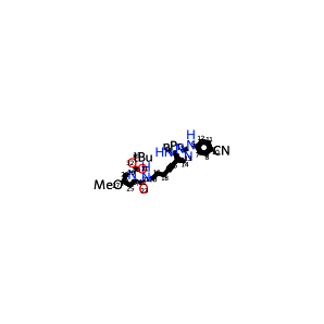 CCCNc1nc(Nc2ccc(C#N)cc2)ncc1C#CCCCNC(=O)[C@@H]1C[C@@H](OC)CN1C(=O)OC(C)(C)C